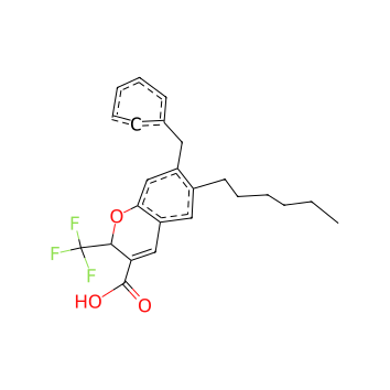 CCCCCCc1cc2c(cc1Cc1ccccc1)OC(C(F)(F)F)C(C(=O)O)=C2